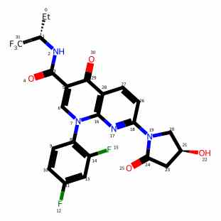 CC[C@H](NC(=O)c1cn(-c2ccc(F)cc2F)c2nc(N3C[C@@H](O)CC3=O)ccc2c1=O)C(F)(F)F